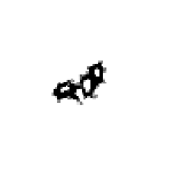 Fc1cccnc1N1C=Nc2ccccc2C1